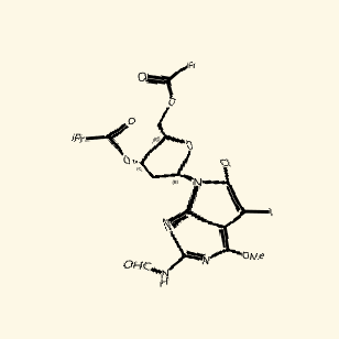 COc1nc(NC=O)nc2c1c(I)c(Cl)n2[C@H]1C[C@H](OC(=O)C(C)C)[C@@H](COC(=O)C(C)C)O1